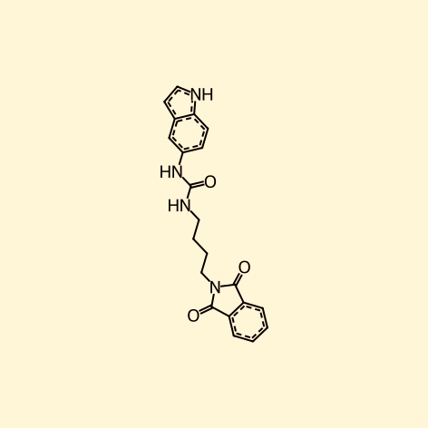 O=C(NCCCCN1C(=O)c2ccccc2C1=O)Nc1ccc2[nH]ccc2c1